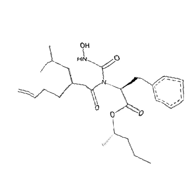 C=CCCC(CC(C)C)C(=O)N(C(=O)NO)[C@@H](Cc1ccccc1)C(=O)O[C@@H](C)CCC